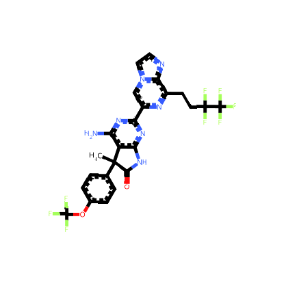 CC1(c2ccc(OC(F)(F)F)cc2)C(=O)Nc2nc(-c3cn4ccnc4c(CCC(F)(F)C(F)(F)F)n3)nc(N)c21